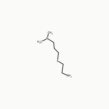 CN(C)CCCSCCN